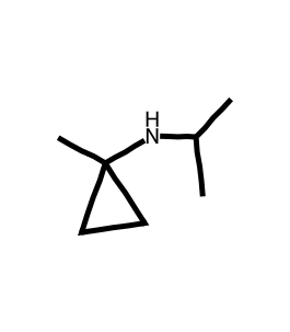 CC(C)NC1(C)CC1